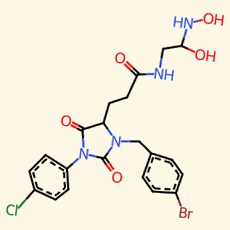 O=C(CCC1C(=O)N(c2ccc(Cl)cc2)C(=O)N1Cc1ccc(Br)cc1)NCC(O)NO